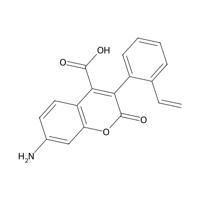 C=Cc1ccccc1-c1c(C(=O)O)c2ccc(N)cc2oc1=O